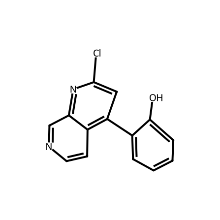 Oc1ccccc1-c1cc(Cl)nc2cnccc12